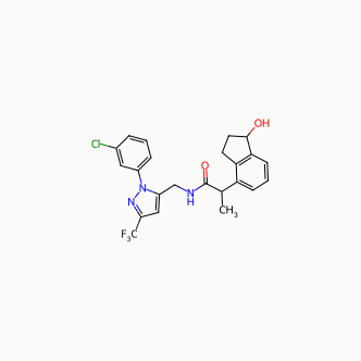 CC(C(=O)NCc1cc(C(F)(F)F)nn1-c1cccc(Cl)c1)c1cccc2c1CCC2O